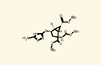 CC(C)(C)OC(=O)N[C@@]1(C(=O)OC(C)(C)C)C[C@@H](Sc2nnc(N)[nH]2)[C@H]2[C@H](C(=O)OC(C)(C)C)[C@H]21